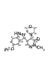 CC(C)Oc1ccc2[nH]nc(-c3cnn(C)c(=O)c3N3CCOCC3)c2c1